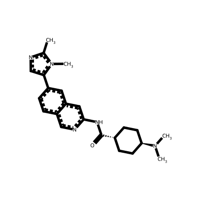 Cc1ncc(-c2ccc3cnc(NC(=O)[C@H]4CC[C@H](N(C)C)CC4)cc3c2)n1C